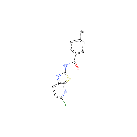 CC(C)(C)c1ccc(C(=O)Nc2nc3ccc(Cl)nc3s2)cc1